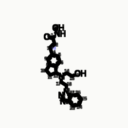 O=C(/C=C/c1ccc2c(c1)CCC2N(CCO)CCn1nnc2ccccc21)NO